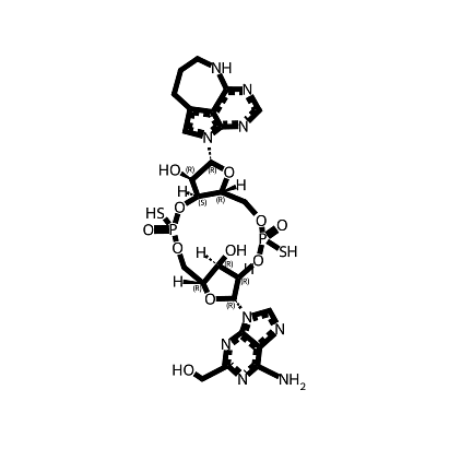 Nc1nc(CO)nc2c1ncn2[C@@H]1O[C@@H]2COP(=O)(S)O[C@H]3[C@@H](O)[C@H](n4cc5c6c(ncnc64)NCCC5)O[C@@H]3COP(=O)(S)O[C@@H]1[C@@H]2O